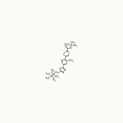 Cc1cc(-c2nnc(CO[Si](C)(C)C(C)(C)C)o2)cnc1C1=CCN(C(=O)OC(C)(C)C)CC1